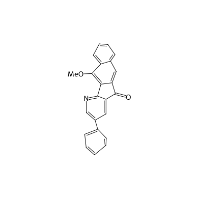 COc1c2c(cc3ccccc13)C(=O)c1cc(-c3ccccc3)cnc1-2